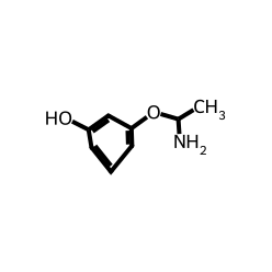 CC(N)Oc1cccc(O)c1